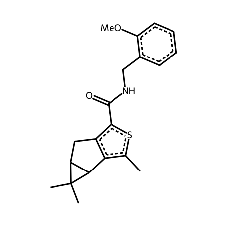 COc1ccccc1CNC(=O)c1sc(C)c2c1CC1C2C1(C)C